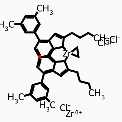 CCCCC1=Cc2c(-c3cc(C)cc(C)c3)cccc2[CH]1[Zr]1([CH]2C(CCCC)=Cc3c(-c4cc(C)cc(C)c4)cccc32)[CH2][CH2]1.[Cl-].[Cl-].[Cl-].[Cl-].[Zr+4]